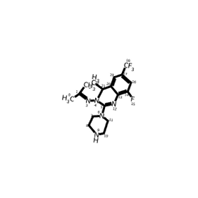 CC(C)=NN1C(N2CCNCC2)=Nc2c(F)cc(C(F)(F)F)cc2C1C